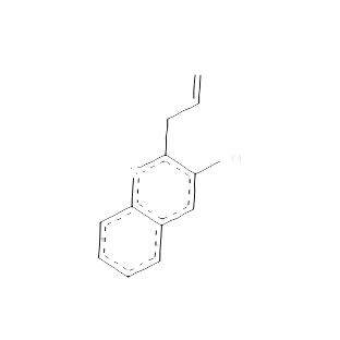 C=CCc1nc2ccccc2cc1O